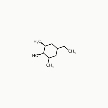 CCC1CC(C)[C@@H](O)[C@@H](C)C1